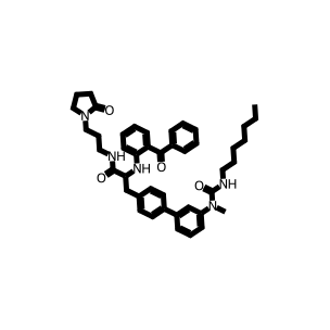 CCCCCCCNC(=O)N(C)c1cccc(-c2ccc(CC(Nc3ccccc3C(=O)c3ccccc3)C(=O)NCCCN3CCCC3=O)cc2)c1